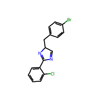 Clc1ccccc1C1=NC(Cc2ccc(Br)cc2)C=N1